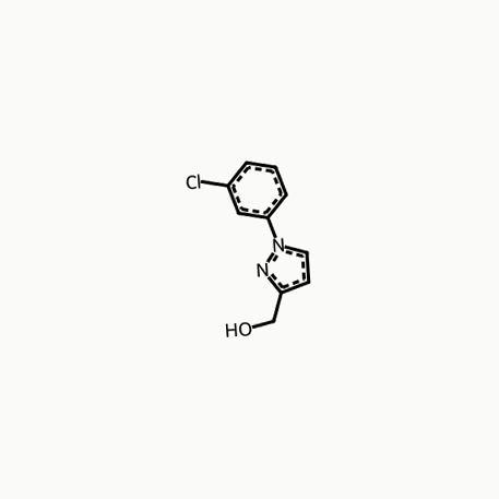 OCc1ccn(-c2cccc(Cl)c2)n1